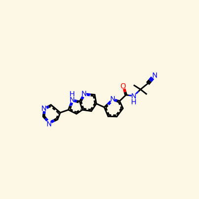 CC(C)(C#N)NC(=O)c1cccc(-c2cnc3[nH]c(-c4cncnc4)cc3c2)n1